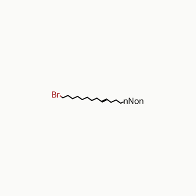 CCCCCCCCCCCCC=CCCCCCCCCBr